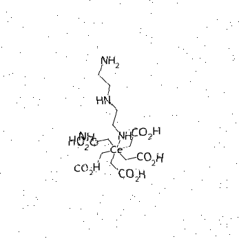 N.NCCNCC[NH][Ce]([CH2]C(=O)O)([CH2]C(=O)O)([CH2]C(=O)O)([CH2]C(=O)O)[CH2]C(=O)O